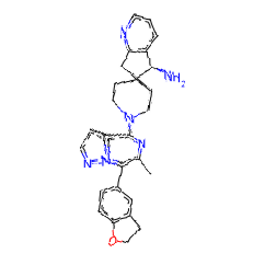 Cc1nc(N2CCC3(CC2)Cc2ncccc2[C@H]3N)c2ccnn2c1-c1ccc2c(c1)CCO2